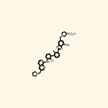 Cc1c(-c2nc3cc(CN4CC[C@@H](C(=O)O)C4)cc(C#N)c3o2)cccc1-c1cccc(Nc2nccc3cc(CN4CCCC4)cnc23)c1Cl